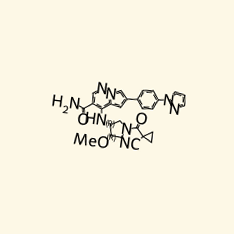 CO[C@@H]1CN(C(=O)C2(C#N)CC2)C[C@H]1Nc1c(C(N)=O)cnn2cc(-c3ccc(-n4cccn4)cc3)cc12